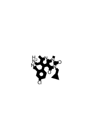 Cc1nc2c(c(-c3ccc(Cl)cc3C#N)c1CN)c(=O)n(CC1CC1)c(=O)n2C